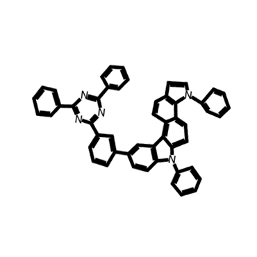 c1ccc(-c2nc(-c3ccccc3)nc(-c3cccc(-c4ccc5c(c4)c4c6ccc7ccn(-c8ccccc8)c7c6ccc4n5-c4ccccc4)c3)n2)cc1